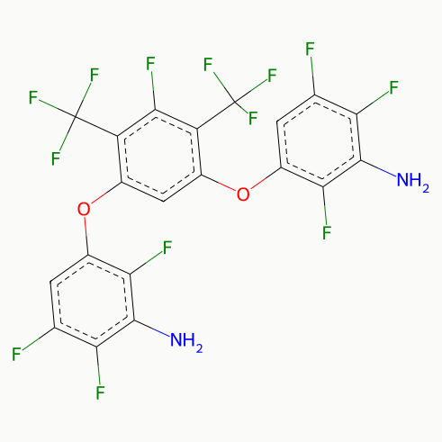 Nc1c(F)c(F)cc(Oc2cc(Oc3cc(F)c(F)c(N)c3F)c(C(F)(F)F)c(F)c2C(F)(F)F)c1F